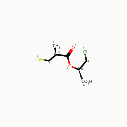 C[C@H](CS)C(=O)O[C@@H](CCl)C(=O)O